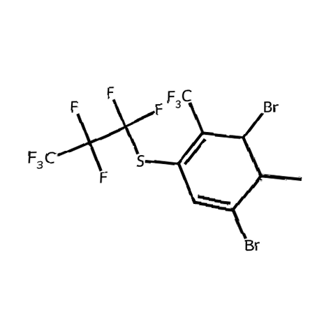 C[C]1C(Br)=CC(SC(F)(F)C(F)(F)C(F)(F)F)=C(C(F)(F)F)C1Br